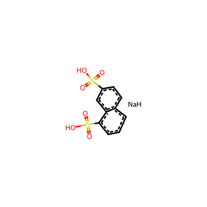 O=S(=O)(O)c1ccc2cccc(S(=O)(=O)O)c2c1.[NaH]